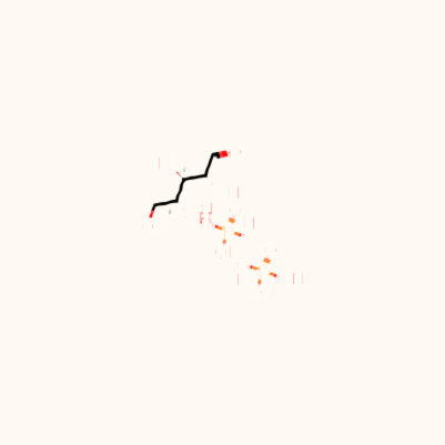 O=C[C@H](O)[C@H](O)[C@H](O)CO.O=P(O)(O)O.O=P(O)(O)O